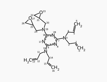 C=CCN(CC=C)c1nc(N(CC=C)CC=C)nc(N(CC2CO2)CC2CO2)n1